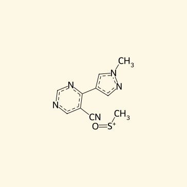 C[S+]=O.Cn1cc(-c2ncncc2C#N)cn1